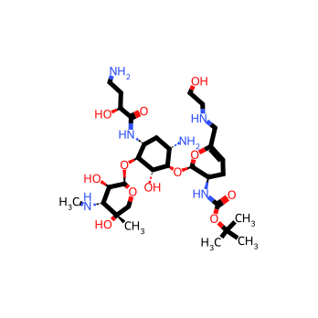 CN[C@@H]1[C@@H](O)[C@@H](O[C@@H]2[C@@H](O)[C@H](O[C@H]3OC(CNCCO)=CC[C@H]3NC(=O)OC(C)(C)C)[C@@H](N)C[C@H]2NC(=O)[C@@H](O)CCN)OC[C@]1(C)O